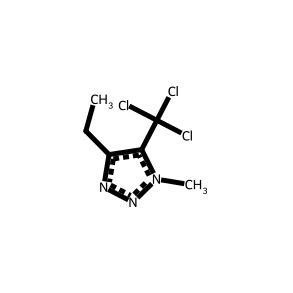 CCc1nnn(C)c1C(Cl)(Cl)Cl